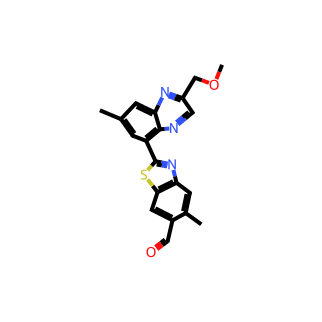 COCc1cnc2c(-c3nc4cc(C)c(C=O)cc4s3)cc(C)cc2n1